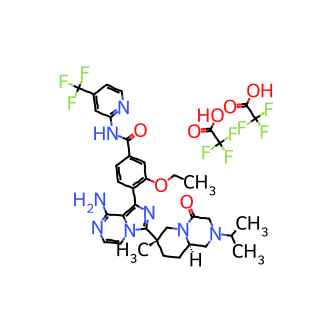 CCOc1cc(C(=O)Nc2cc(C(F)(F)F)ccn2)ccc1-c1nc([C@@]2(C)CC[C@@H]3CN(C(C)C)CC(=O)N3C2)n2ccnc(N)c12.O=C(O)C(F)(F)F.O=C(O)C(F)(F)F